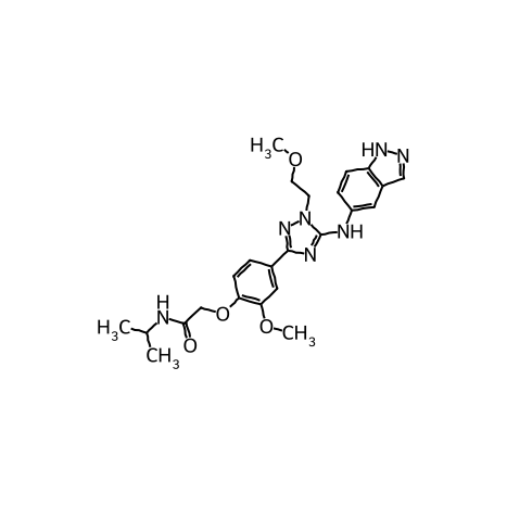 COCCn1nc(-c2ccc(OCC(=O)NC(C)C)c(OC)c2)nc1Nc1ccc2[nH]ncc2c1